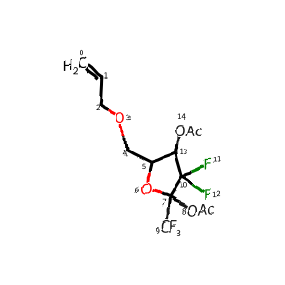 C=CCOCC1OC(OC(C)=O)(C(F)(F)F)C(F)(F)C1OC(C)=O